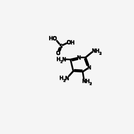 Nc1nc(N)c(N)c(N)n1.O=S(O)O